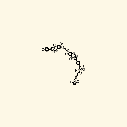 COc1ccc(C2=CN3C(=O)c4cc(OC)c(OCCCOc5cc6c(cc5OC)C(=O)N5C=C(c7ccc(NC[C@](C)(C=O)NC(=O)CCCCCN8C(=O)C=CC8=O)cc7)C[C@H]5C=N6)cc4N=C[C@@H]3C2)cc1